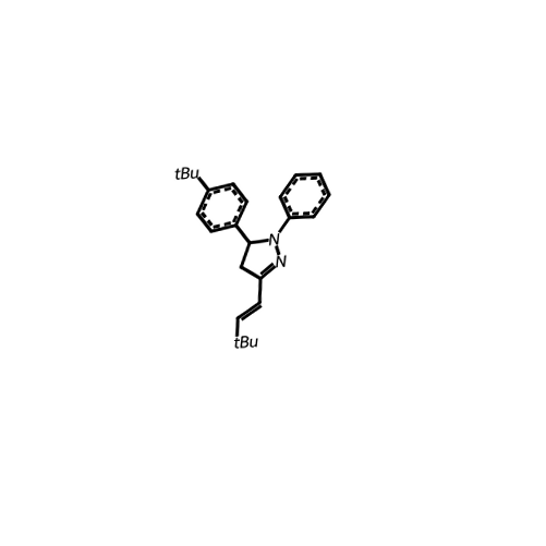 CC(C)(C)C=CC1=NN(c2ccccc2)C(c2ccc(C(C)(C)C)cc2)C1